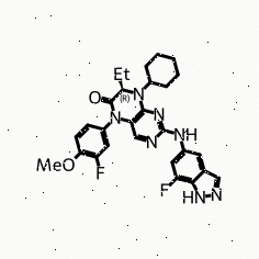 CC[C@@H]1C(=O)N(c2ccc(OC)c(F)c2)c2cnc(Nc3cc(F)c4[nH]ncc4c3)nc2N1C1CCCCC1